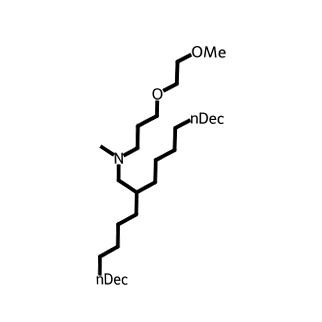 CCCCCCCCCCCCCCC(CCCCCCCCCCCCCC)CN(C)CCCOCCOC